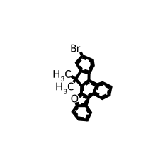 CC1(C)c2cc(Br)ccc2-c2c1c1oc3ccccc3c1c1ccccc21